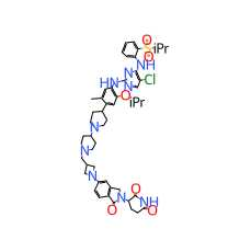 Cc1cc(Nc2ncc(Cl)c(Nc3ccccc3S(=O)(=O)C(C)C)n2)c(OC(C)C)cc1C1CCN(C2CCN(CC3CN(c4ccc5c(c4)CN(C4CCC(=O)NC4=O)C5=O)C3)CC2)CC1